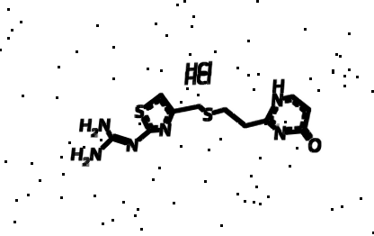 Cl.Cl.NC(N)=Nc1nc(CSCCc2nc(=O)cc[nH]2)cs1